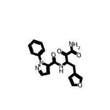 NC(=O)C(=O)C(Cc1ccoc1)NC(=O)c1ccnn1-c1ccccc1